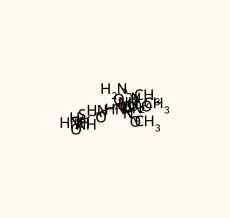 COCCN(CC(=O)N[C@@H](CCCCNC(=O)CCCCC1SC[C@@H]2NC(=O)N[C@H]12)C(N)=O)C(=O)CN(CCOC)C(=O)CN(C)CCCCN